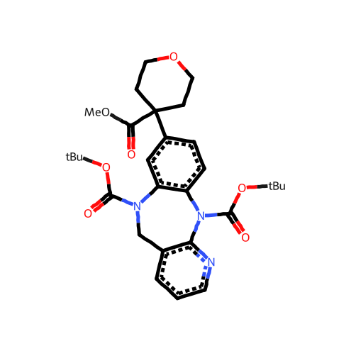 COC(=O)C1(c2ccc3c(c2)N(C(=O)OC(C)(C)C)Cc2cccnc2N3C(=O)OC(C)(C)C)CCOCC1